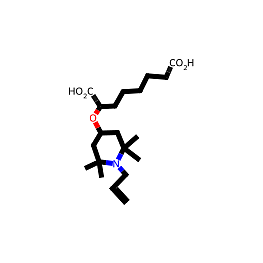 C=CCN1C(C)(C)CC(OC(CCCCCC(=O)O)C(=O)O)CC1(C)C